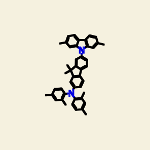 Cc1ccc(N(c2ccc3c(c2)C(C)(C)c2cc(-n4c5cc(C)ccc5c5ccc(C)cc54)ccc2-3)c2ccc(C)cc2C)c(C)c1